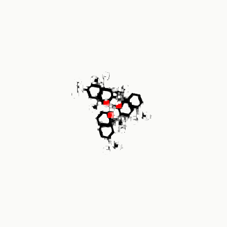 O=[N+]([O-])c1cccc(P(=O)(OB(OP(=O)(c2cccc([N+](=O)[O-])c2)c2cccc([N+](=O)[O-])c2)OP(=O)(c2cccc([N+](=O)[O-])c2)c2cccc([N+](=O)[O-])c2)c2cccc([N+](=O)[O-])c2)c1